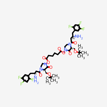 CC(C)(C)OC[C@@H]1C(=O)N(OC(=O)CCCCC(=O)ON2CCN(C(=O)C[C@H](N)Cc3cc(F)c(F)cc3F)[C@H](COC(C)(C)C)C2=O)CCN1C(=O)C[C@H](N)Cc1cc(F)c(F)cc1F